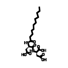 CCCCCCCCCCCC(=O)N[C@@H](CC(=O)O)C(=O)N[C@@H](CC(=O)O)C(=O)O